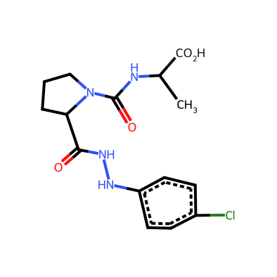 CC(NC(=O)N1CCCC1C(=O)NNc1ccc(Cl)cc1)C(=O)O